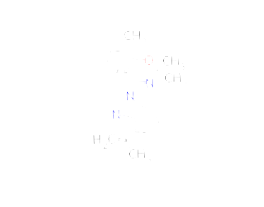 C=C(C)c1cccc2c1ncn2C1=NC(C)(C)Oc2c(C)cccc21